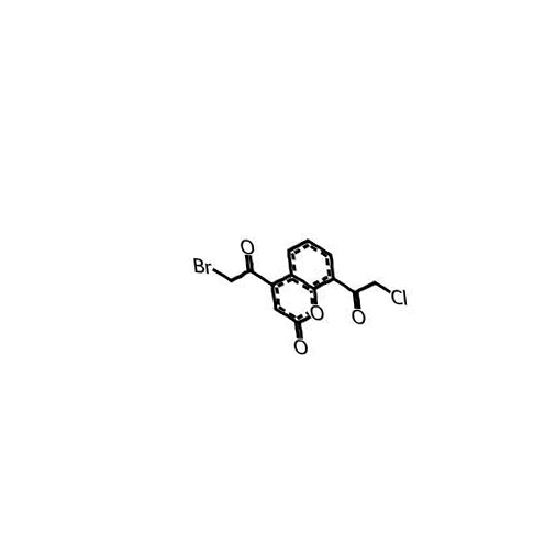 O=C(CBr)c1cc(=O)oc2c(C(=O)CCl)cccc12